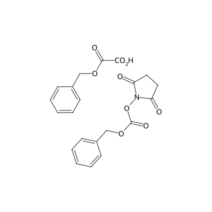 O=C(O)C(=O)OCc1ccccc1.O=C(OCc1ccccc1)ON1C(=O)CCC1=O